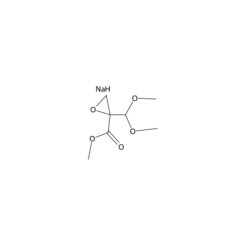 COC(=O)C1(C(OC)OC)CO1.[NaH]